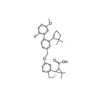 COc1ccc(F)c(-c2ccc(COc3ccc4c(c3)[C@@]3(CC4)C(C(=O)O)C3(C)C)cc2C2=CCCC2(C)C)c1